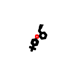 [C]#CCC1CCCCC1Oc1ccc(C(C)(C)C)cc1